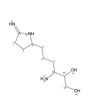 N=C1CCC(CCCC(N)C(O)CO)N1